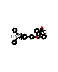 C1=CC2Oc3ccccc3C3(c4ccccc4-c4c(-c5ccc(-c6ccc(C7NC(c8ccccc8)NC(c8ccccc8)N7)cc6)cc5)cccc43)C2C=C1